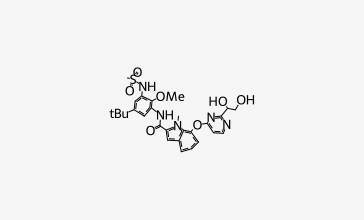 COc1c(NC(=O)c2cc3cccc(Oc4ccnc(C(O)CO)n4)c3n2C)cc(C(C)(C)C)cc1NS(C)(=O)=O